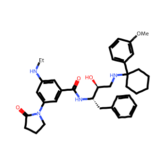 CCNc1cc(C(=O)N[C@@H](Cc2ccccc2)[C@@H](O)CNC2(c3cccc(OC)c3)CCCCC2)cc(N2CCCC2=O)c1